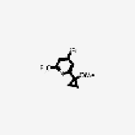 COC1(c2cc(C(C)C)cc(C(F)(F)F)n2)CC1